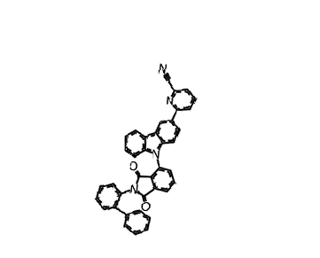 N#Cc1cccc(-c2ccc3c(c2)c2ccccc2n3-c2cccc3c2C(=O)N(c2ccccc2-c2ccccc2)C3=O)n1